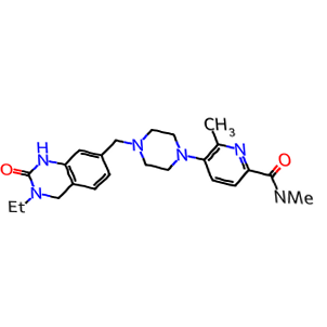 CCN1Cc2ccc(CN3CCN(c4ccc(C(=O)NC)nc4C)CC3)cc2NC1=O